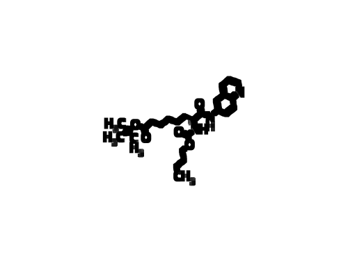 CCCCOC(=O)N[C@@H](CCCCCC(=O)OC(C)(C)C)C(=O)Nc1ccc2ncccc2c1